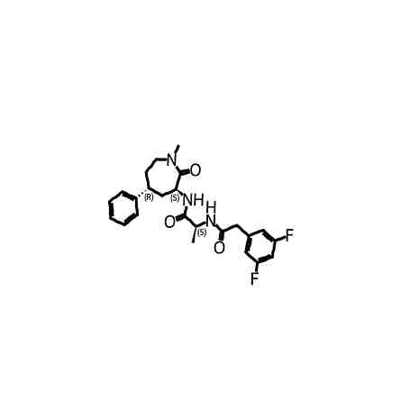 C[C@H](NC(=O)Cc1cc(F)cc(F)c1)C(=O)N[C@H]1C[C@H](c2ccccc2)CCN(C)C1=O